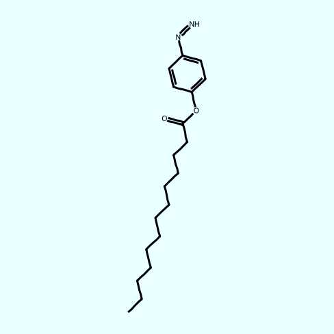 CCCCCCCCCCCCC(=O)Oc1ccc(N=N)cc1